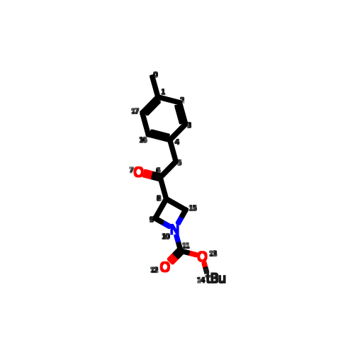 Cc1ccc(CC(=O)C2CN(C(=O)OC(C)(C)C)C2)cc1